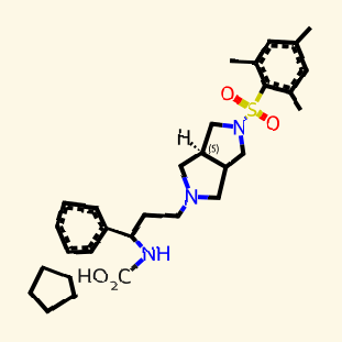 C1CCCC1.Cc1cc(C)c(S(=O)(=O)N2CC3CN(CCC(NC(=O)O)c4ccccc4)C[C@H]3C2)c(C)c1